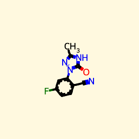 Cc1nn(-c2cc(F)ccc2C#N)c(=O)[nH]1